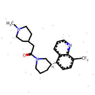 CN1CCC(CC(=O)N2CCC[C@@H](c3ccc(C(F)(F)F)c4ncccc34)C2)CC1